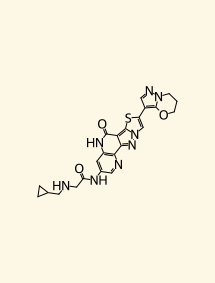 O=C(CNCC1CC1)Nc1cnc2c(c1)[nH]c(=O)c1c2nn2cc(-c3cnn4c3OCCC4)sc12